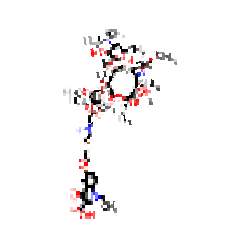 CC[C@H]1OC(=O)[C@H](C)[C@@H](O[C@H]2C[C@@](C)(OC)[C@@H](OC(=O)CCNCCSCCOc3ccc4c(c3)c(=O)c(C(=O)O)cn4CC)[C@H](C)O2)[C@H](C)[C@@H](O[C@@H]2O[C@H](C)C[C@H](N(C)C)[C@H]2O)[C@](C)(O)C[C@@H](C)/C(=N\OCOC)[C@@H](C)[C@@H](O)[C@]1(C)O